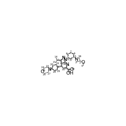 COC1CN(c2cccc(-n3nc(C(C)C)c4c(-c5ccc(N6CCOCC6)cc5)cc(C(=O)O)nc43)c2)C1